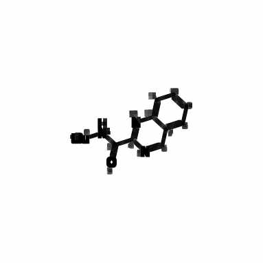 CC(C)(C)NC(=O)c1ncc2ccccc2n1